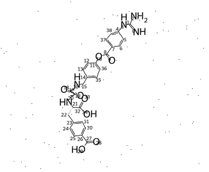 N=C(N)Nc1ccc(C(=O)Oc2ccc(CNS(=O)(=O)N[C@@H](Cc3ccc(C(=O)O)cc3)C(=O)O)cc2)cc1